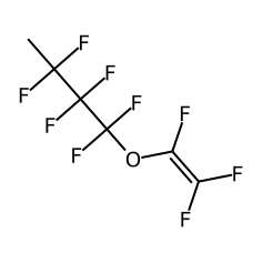 CC(F)(F)C(F)(F)C(F)(F)OC(F)=C(F)F